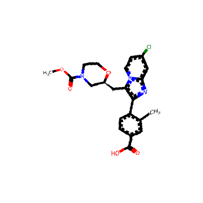 COC(=O)N1CCO[C@@H](Cc2c(-c3ccc(C(=O)O)cc3C)nc3cc(Cl)ccn23)C1